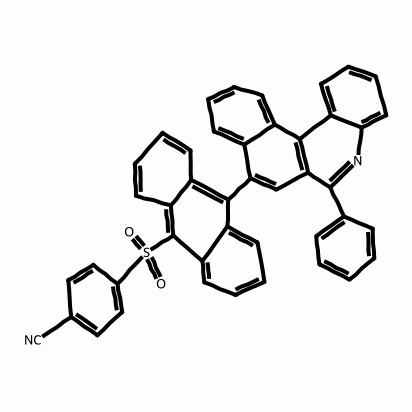 N#Cc1ccc(S(=O)(=O)c2c3ccccc3c(-c3cc4c(-c5ccccc5)nc5ccccc5c4c4ccccc34)c3ccccc23)cc1